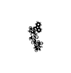 CC(C)C[C@@H](C(=O)NCC(=O)NCC(C)(C)C(=O)N(C)[C@H](C)CC(=O)O)N(C)C(=O)[C@H](C)N(C)C(=O)OCC1c2ccccc2-c2ccccc21